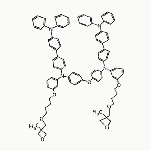 CC1(COCCCCOc2cccc(N(c3ccc(Oc4ccc(N(c5ccc(-c6ccc(N(c7ccccc7)c7ccccc7)cc6)cc5)c5cccc(OCCCCOCC6(C)COC6)c5)cc4)cc3)c3ccc(-c4ccc(N(c5ccccc5)c5ccccc5)cc4)cc3)c2)COC1